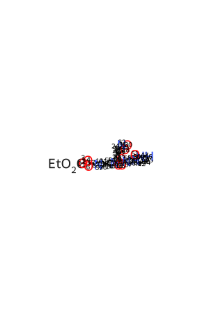 CCOC(=O)OC(C)OC(=O)CCN1CCC(C2CCN(C(=O)[C@@H](Cc3cc(C)c4c(c3)oc(=O)n4C)OC(=O)N3CCC(N4CCc5ccccc5NC4=O)CC3)CC2)CC1